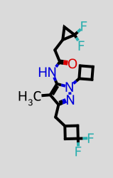 Cc1c(CC2CC(F)(F)C2)nn(C2CCC2)c1NC(=O)CC1CC1(F)F